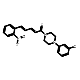 O=C(/C=C/C=C/c1ccccc1[N+](=O)[O-])N1CCN(c2cccc(Cl)c2)CC1